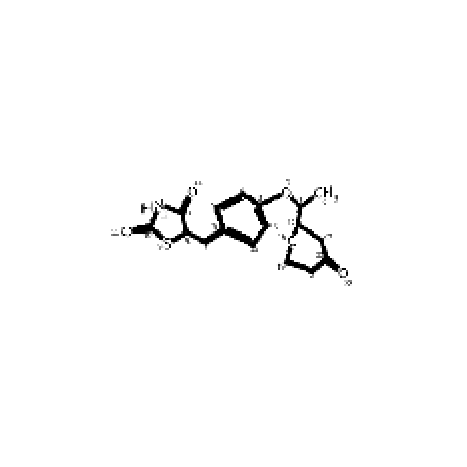 CC(Oc1ccc(CC2SC(=O)NC2=O)cc1)C1CCCC(=O)C1